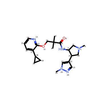 CN1CC(NC(=O)C(C)(C)COc2ncccc2C2CC2)C(c2cnn(C)c2)C1